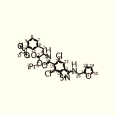 CC(C)OC(=O)C(Cc1cccc(S(C)(=O)=O)c1)NC(=O)c1c(Cl)cc2c(NCc3ccco3)nsc2c1Cl